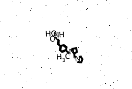 CC(c1ccc(C=CC(=O)NO)cc1)N1CCCC1CN1CCCC1